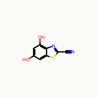 N#Cc1nc2c(O)cc(O)cc2s1